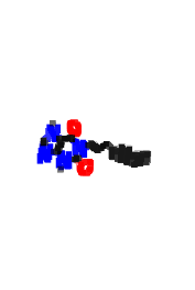 CCCCCCCCCCC=Cn1c(=O)c2c(ncn2C)n(C)c1=O